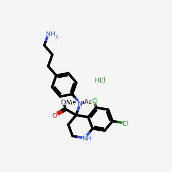 COC(=O)C1(N(C(C)=O)c2ccc(CCCN)cc2)CCNc2cc(Cl)cc(Cl)c21.Cl